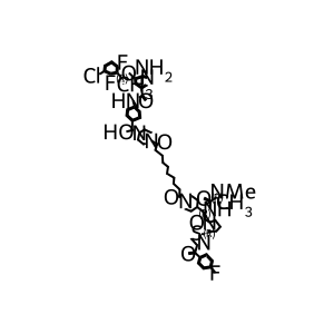 CN[C@H](C)C(=O)N[C@@H](C(=O)N1CCC[C@@H]1C1=NC(C(=O)c2ccc(F)cc2)CS1)C1CCN(C(=O)CCCCCCCCC(=O)N2CCN(C(O)c3ccc(NC(=O)c4cnc(N)c(O[C@H](C)c5c(F)ccc(Cl)c5F)c4)cc3)CC2)CC1